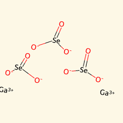 O=[Se]([O-])[O-].O=[Se]([O-])[O-].O=[Se]([O-])[O-].[Ga+3].[Ga+3]